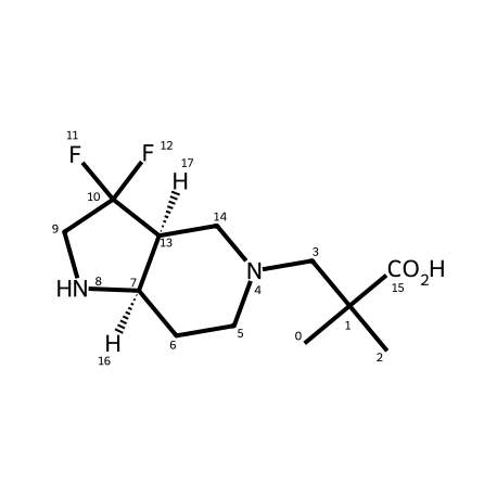 CC(C)(CN1CC[C@H]2NCC(F)(F)[C@H]2C1)C(=O)O